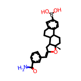 C[C@]12CCC3c4ccc(B(O)O)cc4CCC3C1C/C(=C\c1cccc(C(N)=O)c1)O2